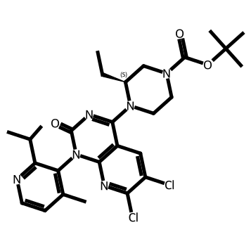 CC[C@H]1CN(C(=O)OC(C)(C)C)CCN1c1nc(=O)n(-c2c(C)ccnc2C(C)C)c2nc(Cl)c(Cl)cc12